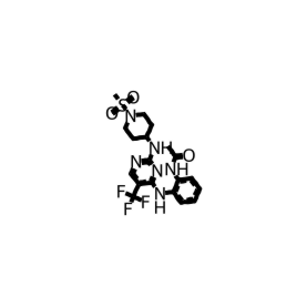 CC(=O)Nc1ccccc1Nc1nc(NC2CCN(S(C)(=O)=O)CC2)ncc1C(F)(F)F